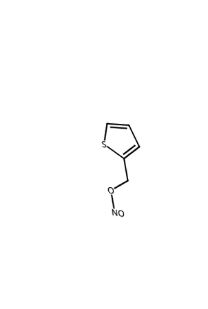 O=NOCc1cccs1